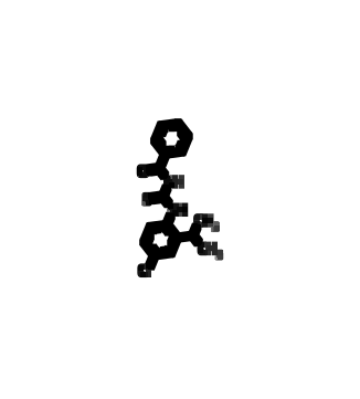 CC(C)c1cc(Cl)ccc1NC(=S)NC(=O)c1ccccc1